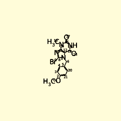 COc1ccc(Cn2c(Br)nc3c2c(=O)[nH]c(=O)n3C)cc1